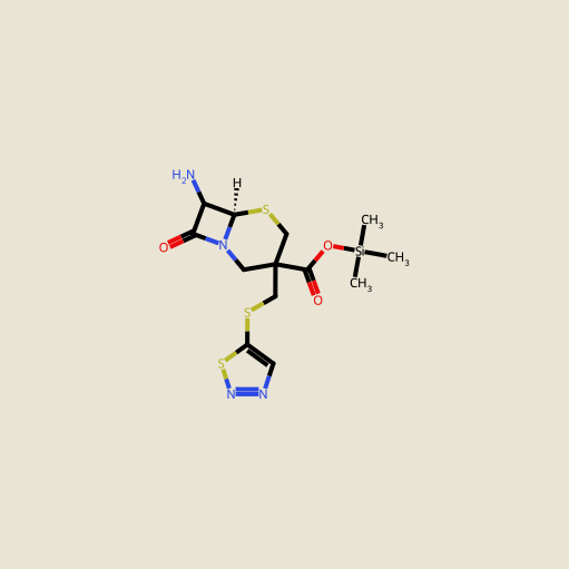 C[Si](C)(C)OC(=O)C1(CSc2cnns2)CS[C@@H]2C(N)C(=O)N2C1